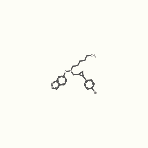 CCCCCCN(CC1CC1c1ccc(Br)cc1)Oc1ccc2cnoc2c1